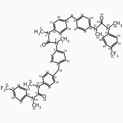 CN(C(=O)N(C)c1ccc(Cc2ccc(N(C)C(=O)N(C)c3ccc(C(F)(F)F)cc3)cc2)cc1)c1ccc(Cc2ccc(N(C)C(=O)N(C)c3ccc(C(F)(F)F)cc3)cc2)cc1